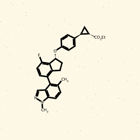 CCOC(=O)[C@H]1C[C@@H]1c1ccc(O[C@@H]2CCc3c(-c4c(C)ccc5c4cnn5C)ccc(F)c32)cc1